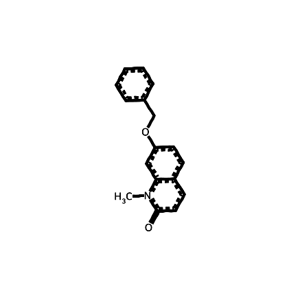 Cn1c(=O)ccc2ccc(OCc3ccccc3)cc21